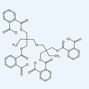 CCC(COCC(CC)(COC(=O)c1ccccc1C(=O)Cl)COC(=O)c1ccccc1C(=O)Cl)(COC(=O)c1ccccc1C(=O)Cl)COC(=O)c1ccccc1C(=O)Cl